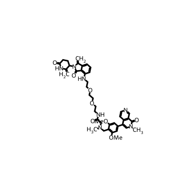 C=C1NC(=O)CCC1N1C(=C)c2cccc(NCCOCCOCCNC(=O)CN(C)Cc3c(OC)cc(-c4cn(C)c(=O)c5cnccc45)cc3OC)c2C1=O